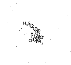 Cc1cc(S(=O)(=O)N2CCCCC2CCS(=O)(=O)N2CCN(C3CCN(C)CC3)CC2)c(C)cc1Cl